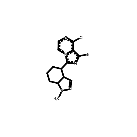 CN1N=CC2C(c3nc(Br)c4c(Cl)nccn34)CCCC21